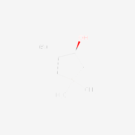 CCC(C)[C@H]1CS(C)(C)C[C@@H]1O